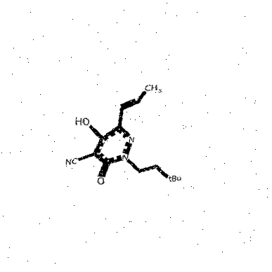 C/C=C/c1nn(CCC(C)(C)C)c(=O)c(C#N)c1O